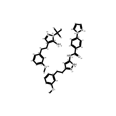 COc1cccc(CCc2cc(NC(=O)c3ccc(-n4cccn4)cc3)[nH]n2)c1.COc1cccc(CCc2cnn(C(C)(C)C)c2N)c1